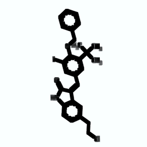 CC(C)(C)c1cc(C=C2C(=O)Nc3ccc(CCCl)cc32)cc(I)c1OCc1ccccc1